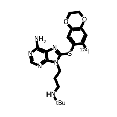 CC(C)(C)NCCCn1c(Sc2cc3c(cc2[124I])OCCO3)nc2c(N)ncnc21